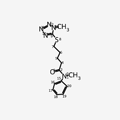 CN(C(=O)CCCCSc1nnnn1C)c1ccccc1